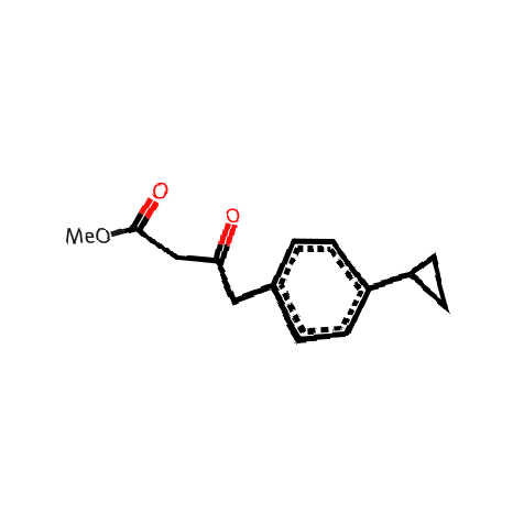 COC(=O)CC(=O)Cc1ccc(C2CC2)cc1